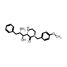 COc1ccc(CN2CCN[C@@H]([C@@H](O)[C@@H](N)Cc3ccccc3)C2=O)cc1